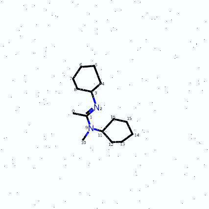 C/C(=N\C1CCCCC1)N(C)C1CCCCC1